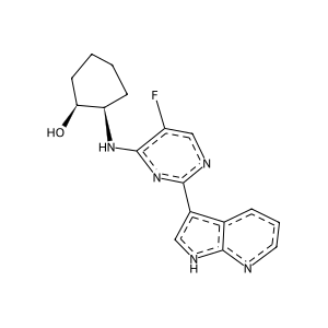 O[C@H]1CCCC[C@H]1Nc1nc(-c2c[nH]c3ncccc23)ncc1F